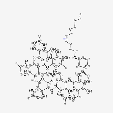 CCCCCC/C=C\CCCOc1cccc(C(=O)N[C@@H]2C(OC3C(CO)OC(OC4C(CO)OC(OC5C(CO)OC(OC6C(COC7OC(C)C(O)C(O)C7O)OC(O)[C@@H](NC(C)=O)C6O)[C@@H](NC(C)=O)C5O)[C@@H](NC(C)=O)C4O)[C@@H](NC(C)=O)C3O)OC(CO)C(O)C2O)c1